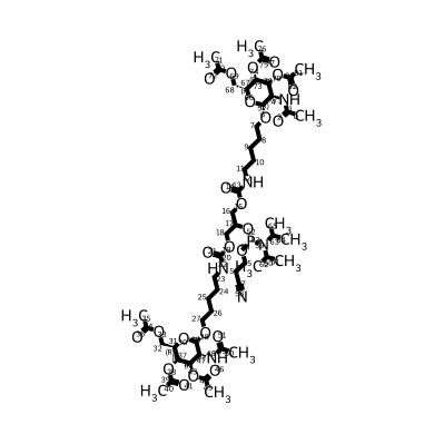 CC(=O)N[C@H]1[C@H](OCCCCCNC(=O)OCC(COC(=O)NCCCCCO[C@@H]2O[C@H](COC(C)=O)[C@H](OC(C)=O)[C@H](OC(C)=O)[C@H]2NC(C)=O)OP(OCCC#N)N(C(C)C)C(C)C)O[C@H](COC(C)=O)[C@H](OC(C)=O)[C@@H]1OC(C)=O